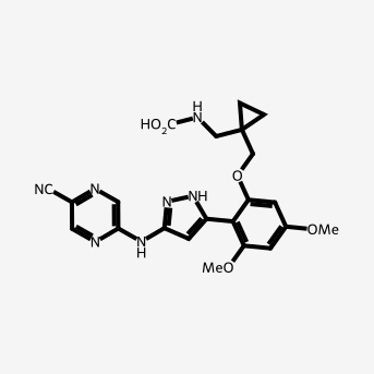 COc1cc(OC)c(-c2cc(Nc3cnc(C#N)cn3)n[nH]2)c(OCC2(CNC(=O)O)CC2)c1